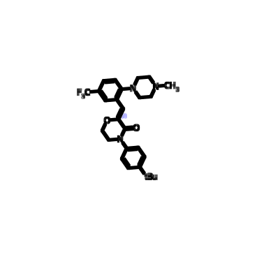 CN1CCN(c2ccc(C(F)(F)F)cc2/C=C2\OCCN(c3ccc(C(C)(C)C)cc3)C2=O)CC1